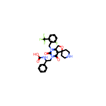 O=C(O)NC(Cn1c(=O)c2c(n(Cc3c(F)cccc3C(F)(F)F)c1=O)COC21CCNCC1)c1ccccc1